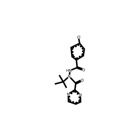 CC(C)(C)N(NC(=O)c1ccc(Cl)cc1)C(=O)c1ncccn1